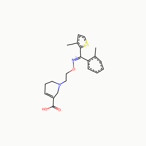 Cc1ccccc1/C(=N\OCCN1CCC=C(C(=O)O)C1)c1sccc1C